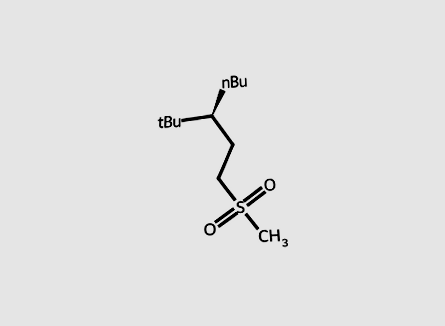 CCCC[C@@H](CCS(C)(=O)=O)C(C)(C)C